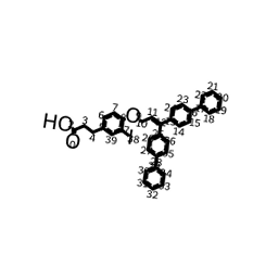 O=C(O)CCc1ccc(OCC=C(c2ccc(-c3ccccc3)cc2)c2ccc(-c3ccccc3)cc2)c(I)c1